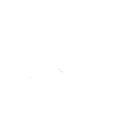 Cc1c(-c2cccc(N(c3ccc(-c4cccc5ccccc45)cc3)c3ccc4c(ccc5ccccc54)c3)c2)oc2ccccc12